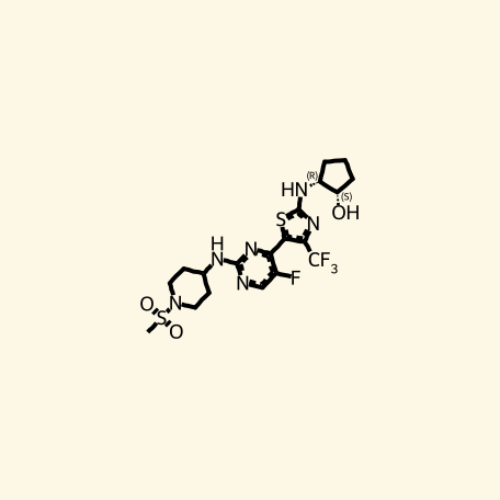 CS(=O)(=O)N1CCC(Nc2ncc(F)c(-c3sc(N[C@@H]4CCC[C@@H]4O)nc3C(F)(F)F)n2)CC1